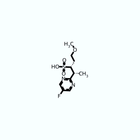 COCC[C@H]([C@H](C)c1ncc(F)cn1)S(=O)(=O)O